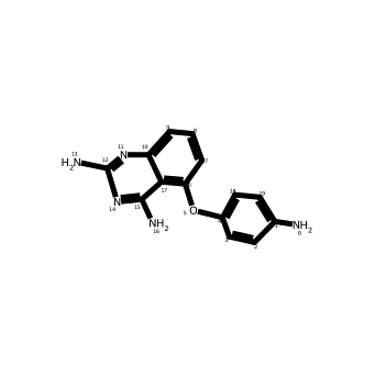 Nc1ccc(Oc2cccc3nc(N)nc(N)c23)cc1